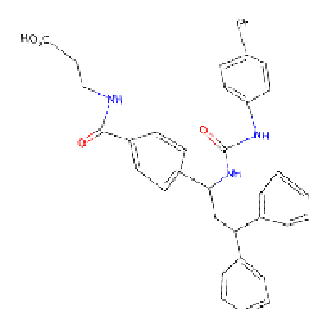 CC(C)c1ccc(NC(=O)NC(CC(c2ccccc2)c2ccccc2)c2ccc(C(=O)NCCC(=O)O)cc2)cc1